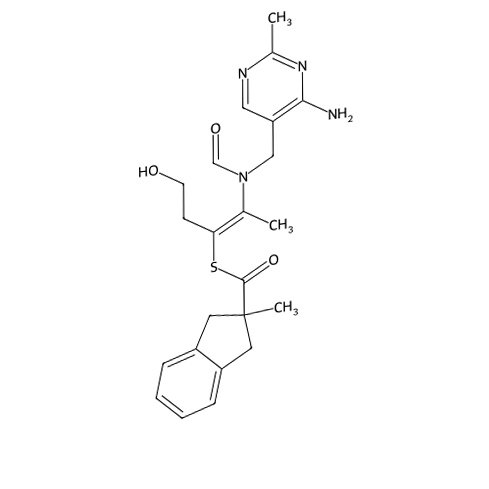 CC(=C(CCO)SC(=O)C1(C)Cc2ccccc2C1)N(C=O)Cc1cnc(C)nc1N